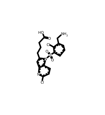 NCc1cccc(S(=O)(=O)n2c(CCCC(=O)O)cc3nc(Cl)ccc32)c1Cl